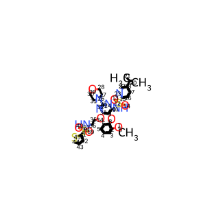 COc1ccccc1Oc1c(NS(=O)(=O)c2ccc(C(C)C)cn2)nc(N2CCOCC2)nc1OCCNS(=O)(=O)c1cccs1